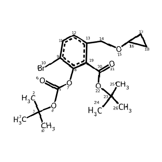 CC(C)(C)OC(=O)Oc1c(Br)ccc(COC2CC2)c1C(=O)OC(C)(C)C